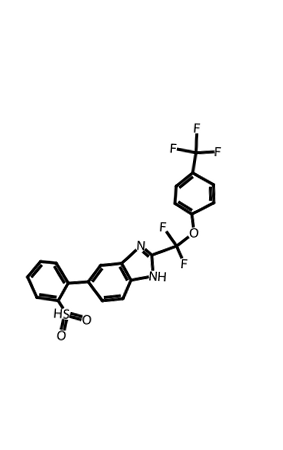 O=[SH](=O)c1ccccc1-c1ccc2[nH]c(C(F)(F)Oc3ccc(C(F)(F)F)cc3)nc2c1